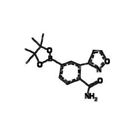 CC1(C)OB(c2ccc(C(N)=O)c(-c3ccon3)c2)OC1(C)C